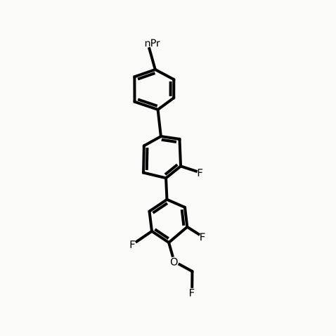 CCCc1ccc(-c2ccc(-c3cc(F)c(OCF)c(F)c3)c(F)c2)cc1